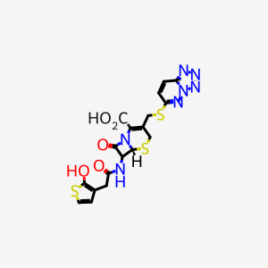 O=C(Cc1ccsc1O)NC1C(=O)N2C(C(=O)O)=C(CSc3ccc4nnnn4n3)CS[C@H]12